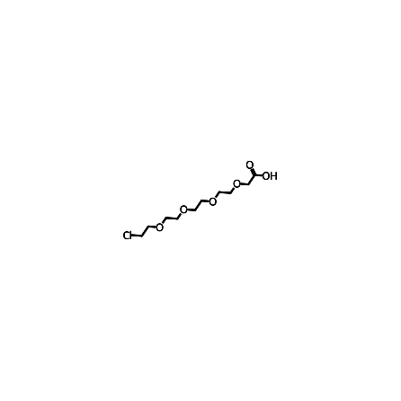 O=C(O)COCCOCCOCCOCCCl